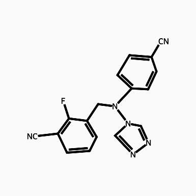 N#Cc1ccc(N(Cc2cccc(C#N)c2F)n2cnnc2)cc1